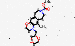 Cc1c2c(cc3c1N(CC1COCCO1)CCO3)CCN(C(=O)OC(C)(C)C)CC2